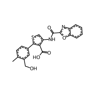 Cc1ccc(-c2scc(NC(=O)c3nc4ccccc4o3)c2C(=O)O)cc1CO